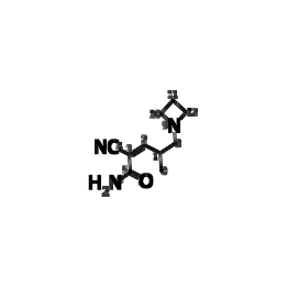 CC(C=C(C#N)C(N)=O)CN1CCC1